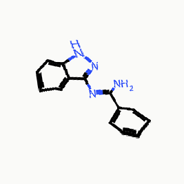 NC(=Nc1n[nH]c2ccccc12)c1ccccc1